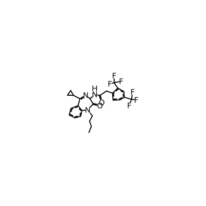 CCCCN1C(=O)C(NC(=O)Cc2ccc(C(F)(F)F)cc2C(F)(F)F)N=C(C2CC2)c2ccccc21